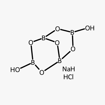 Cl.OB1OB2OB(O)OB(O1)O2.[NaH]